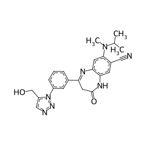 CC(C)N(C)c1cc2c(cc1C#N)NC(=O)CC(c1cccc(-n3nncc3CO)c1)=N2